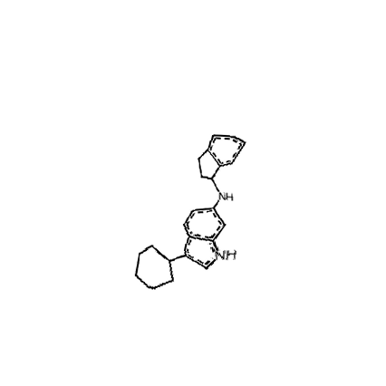 c1ccc2c(c1)CCC2Nc1ccc2c(C3CCCCC3)c[nH]c2c1